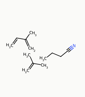 C=C(C)C.C=CC(=C)C.CCCC#N